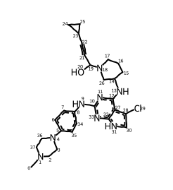 CN1CCN(c2ccc(Nc3nc(NC4CCCN(C(O)C#CC5CC5)C4)c4c(Cl)c[nH]c4n3)cc2)CC1